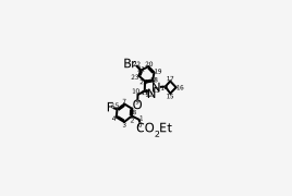 CCOC(=O)Cc1ccc(F)cc1OCc1nn(C2CCC2)c2ccc(Br)cc12